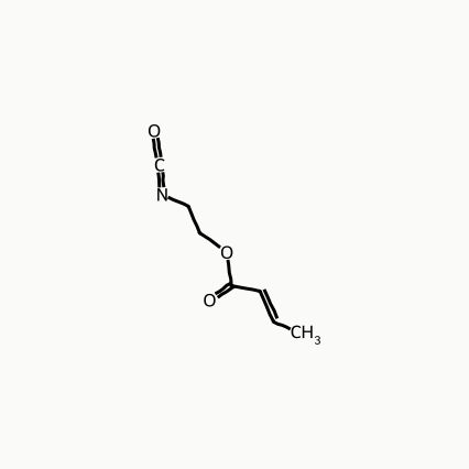 CC=CC(=O)OCCN=C=O